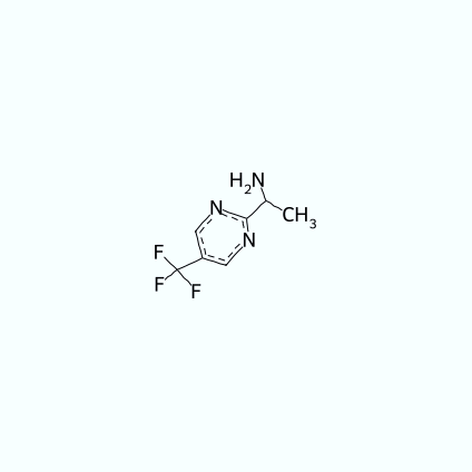 CC(N)c1ncc(C(F)(F)F)cn1